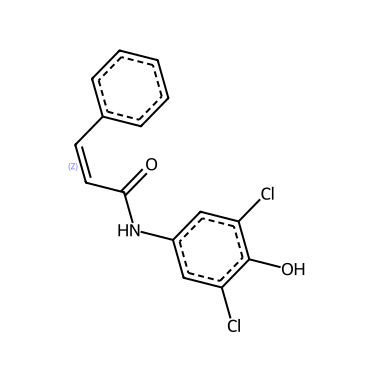 O=C(/C=C\c1ccccc1)Nc1cc(Cl)c(O)c(Cl)c1